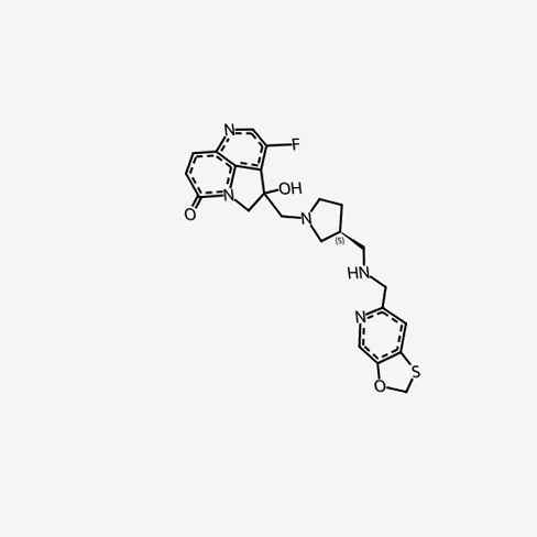 O=c1ccc2ncc(F)c3c2n1CC3(O)CN1CC[C@@H](CNCc2cc3c(cn2)OCS3)C1